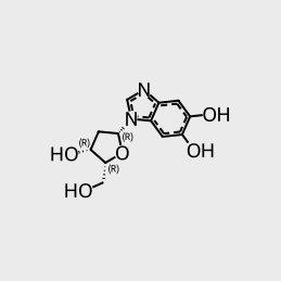 OC[C@H]1O[C@@H](n2cnc3cc(O)c(O)cc32)C[C@H]1O